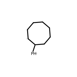 [PH]C1[CH]CCCCCC1